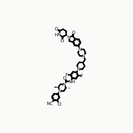 C[C@@H]1CN(c2ccc(C#N)c(Cl)c2)[C@@H](C)CN1C(=O)Nc1cc(F)c(N2CCC(CN3CCN(c4ccc5c(c4)CN([C@H]4CCC(=O)NC4=O)C5=O)CC3)CC2)cc1F